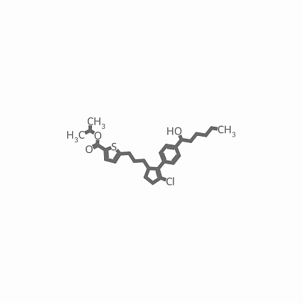 CCCCCC(O)c1ccc(C2=C(Cl)CCC2CCCc2ccc(C(=O)OC(C)C)s2)cc1